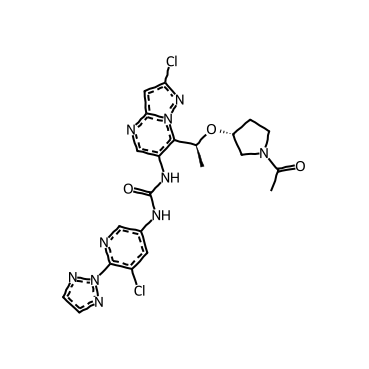 CC(=O)N1CC[C@@H](O[C@@H](C)c2c(NC(=O)Nc3cnc(-n4nccn4)c(Cl)c3)cnc3cc(Cl)nn23)C1